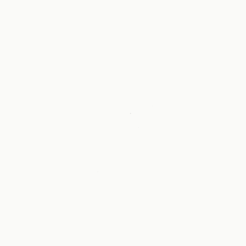 C=CC(=O)OC1CC2CC1C1CCCC21